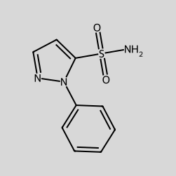 NS(=O)(=O)c1ccnn1-c1ccccc1